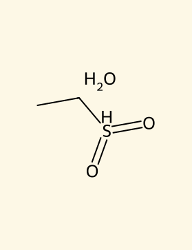 CC[SH](=O)=O.O